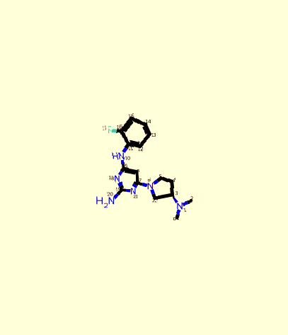 CN(C)[C@@H]1CCN(c2cc(Nc3ccccc3F)nc(N)n2)C1